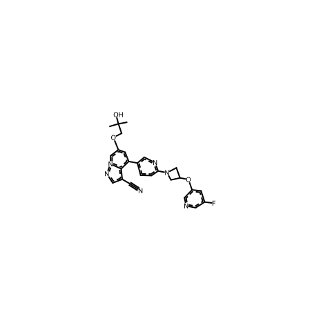 CC(C)(O)COc1cc(-c2ccc(N3CC(Oc4cncc(F)c4)C3)nc2)c2c(C#N)cnn2c1